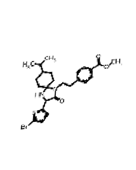 COC(=O)c1ccc(CCN2C(=O)C(c3ccc(Br)s3)NC23CCC(C(C)C)CC3)cc1